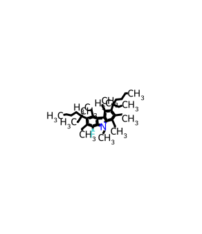 CCCCC(C)(CC)c1c(CC)c(F)c2c(c1CC)c1c(CC)c(C(C)(CC)CCCC)c(CC)c(CC)c1n2CC